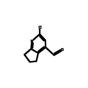 O=Cc1cc(Cl)nc2c1CCC2